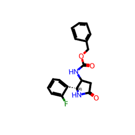 O=C1CC(NC(=O)OCc2ccccc2)[C@@H](c2ccccc2F)N1